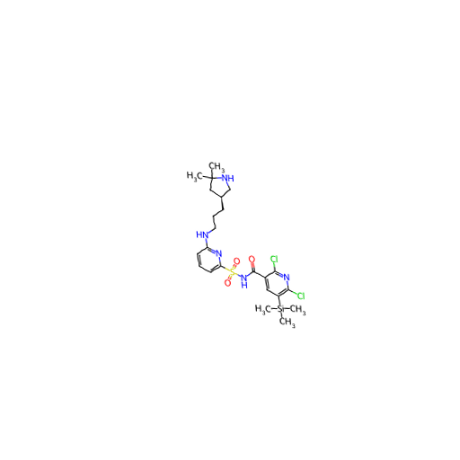 CC1(C)C[C@H](CCCNc2cccc(S(=O)(=O)NC(=O)c3cc([Si](C)(C)C)c(Cl)nc3Cl)n2)CN1